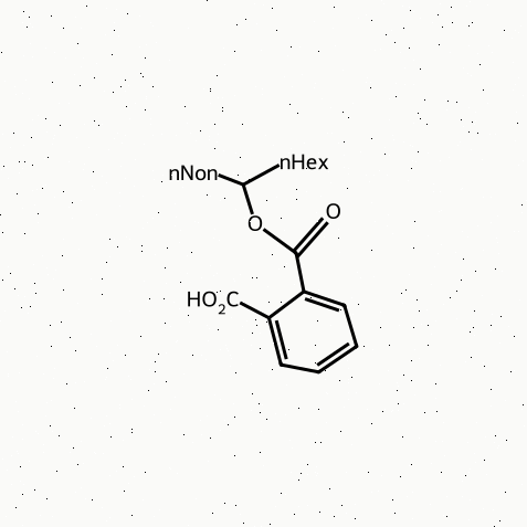 CCCCCCCCCC(CCCCCC)OC(=O)c1ccccc1C(=O)O